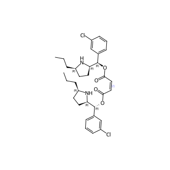 CCC[C@@H]1CC[C@H]([C@H](OC(=O)/C=C\C(=O)O[C@H](c2cccc(Cl)c2)[C@H]2CC[C@@H](CCC)N2)c2cccc(Cl)c2)N1